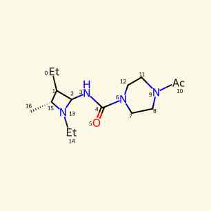 CCC1C(NC(=O)N2CCN(C(C)=O)CC2)N(CC)[C@@H]1C